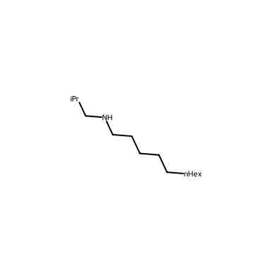 CCCCCCCCCCCNCC(C)C